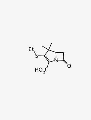 CCSC1=C(C(=O)O)N2C(=O)CC2C1(C)C